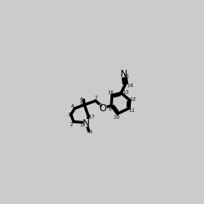 CN1CCCC(C)(COc2cccc(C#N)c2)C1